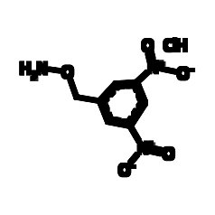 Cl.NOCc1cc([N+](=O)[O-])cc([N+](=O)[O-])c1